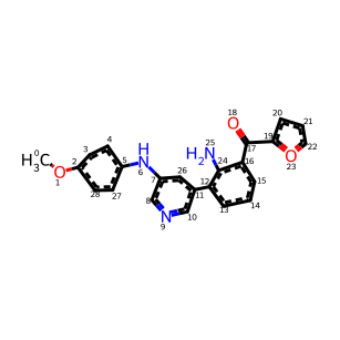 COc1ccc(Nc2cncc(-c3cccc(C(=O)c4ccco4)c3N)c2)cc1